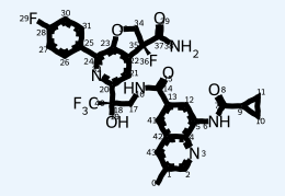 Cc1cnc2c(NC(=O)C3CC3)cc(C(=O)NC[C@](O)(c3cc4c(c(-c5ccc(F)cc5)n3)OC[C@]4(F)C(N)=O)C(F)(F)F)cc2c1